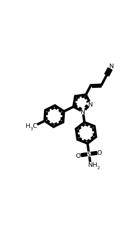 Cc1ccc(-c2cc(C=CC#N)nn2-c2ccc(S(N)(=O)=O)cc2)cc1